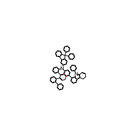 C1=Cc2c(c3cccc(-c4ccc(N(c5ccc6c(c5)-c5ccccc5C6(c5ccccc5)c5ccccc5)c5ccccc5C5=CCCC=C5c5ccccc5-c5ccccc5)cc4)c3n2-c2ccccc2)CC1